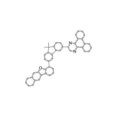 CC1(C)c2ccc(-c3cnc4c5ccccc5c5ccccc5c4n3)cc2-c2cc(-c3cccc4c3oc3cc5ccccc5cc34)ccc21